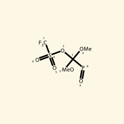 COC(OC)(OS(=O)(=O)C(F)(F)F)P=O